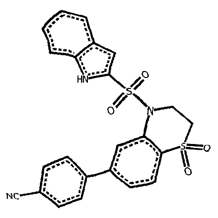 N#Cc1ccc(-c2ccc3c(c2)N(S(=O)(=O)c2cc4ccccc4[nH]2)CCS3(=O)=O)cc1